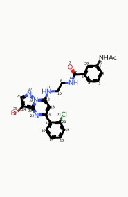 CC(=O)Nc1cccc(C(=O)NCCNc2cc(-c3ccccc3Cl)nc3c(Br)cnn23)c1